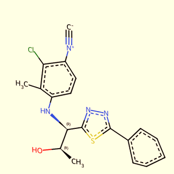 [C-]#[N+]c1ccc(N[C@@H](c2nnc(-c3ccccc3)s2)[C@@H](C)O)c(C)c1Cl